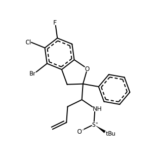 C=CCC(N[S@+]([O-])C(C)(C)C)C1(c2ccccc2)Cc2c(cc(F)c(Cl)c2Br)O1